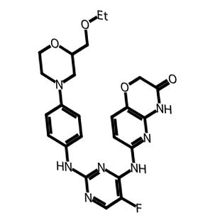 CCOCC1CN(c2ccc(Nc3ncc(F)c(Nc4ccc5c(n4)NC(=O)CO5)n3)cc2)CCO1